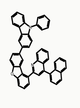 c1ccc(-n2c3ccccc3c3cc(-c4ccc5oc6cccc(-c7cc(-c8cccc9ccccc89)c8ccccc8n7)c6c5c4)ccc32)cc1